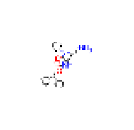 NCCCC[C@@H](NC(=O)OCC1c2ccccc2-c2ccccc21)C(=O)NC1CCCCC1